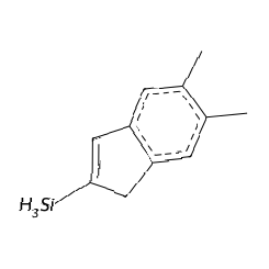 Cc1cc2c(cc1C)CC([SiH3])=C2